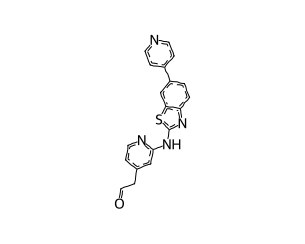 O=CCc1ccnc(Nc2nc3ccc(-c4ccncc4)cc3s2)c1